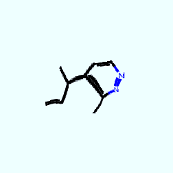 C=CC(C)c1ccnnc1C